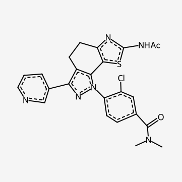 CC(=O)Nc1nc2c(s1)-c1c(c(-c3cccnc3)nn1-c1ccc(C(=O)N(C)C)cc1Cl)CC2